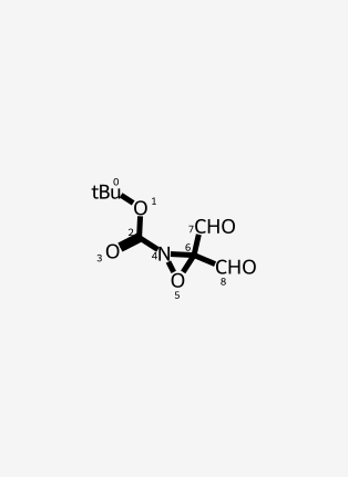 CC(C)(C)OC(=O)N1OC1(C=O)C=O